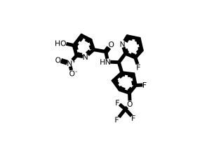 O=C(NC(c1ccc(OC(F)(F)F)c(F)c1)c1ncccc1F)c1ccc(O)c([N+](=O)[O-])n1